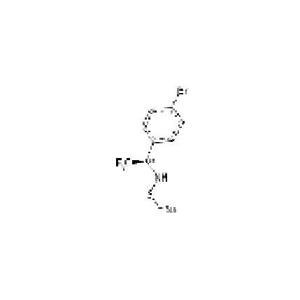 CC(C)(C)SN[C@H](c1ccc(Br)cc1)C(F)(F)F